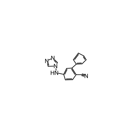 N#Cc1ccc(Nn2cnnc2)cc1-c1ccccc1